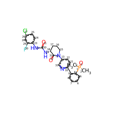 CP(C)(=O)c1ccccc1-c1ccc(N2CCC[C@@H](NC(=O)Nc3ccc(Cl)cc3F)C2=O)cn1